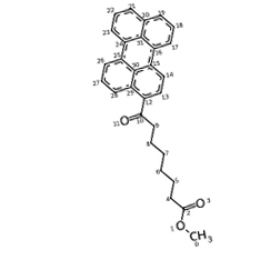 COC(=O)CCCCCCC(=O)c1ccc2c3cccc4cccc(c5cccc1c52)c43